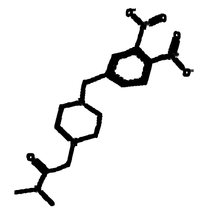 CN(C)C(=O)CN1CCN(Cc2ccc([N+](=O)[O-])c([N+](=O)[O-])c2)CC1